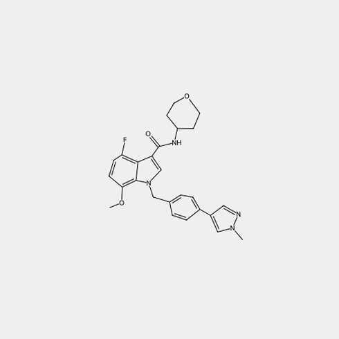 COc1ccc(F)c2c(C(=O)NC3CCOCC3)cn(Cc3ccc(-c4cnn(C)c4)cc3)c12